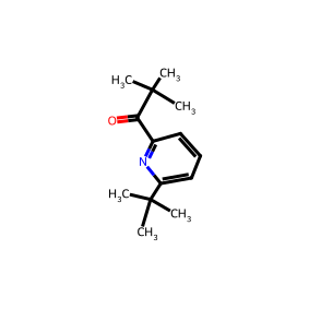 CC(C)(C)C(=O)c1cccc(C(C)(C)C)n1